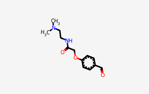 CN(C)CCNC(=O)COc1ccc(C=O)cc1